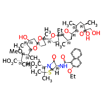 CCOc1ccc2ccccc2c1C(=O)N[C@@H]1C(=O)N2[C@@H]1SC(C)(C)[C@@H]2C(=O)O.CC[C@@]1([C@@H]2O[C@@H]([C@H]3O[C@@](O)(CO)[C@H](C)C[C@@H]3C)C[C@@H]2C)CC[C@H]([C@]2(C)CC[C@]3(C[C@H](O)[C@@H](C)[C@@H]([C@@H](C)[C@@H](OC)[C@H](C)C(=O)O)O3)O2)O1